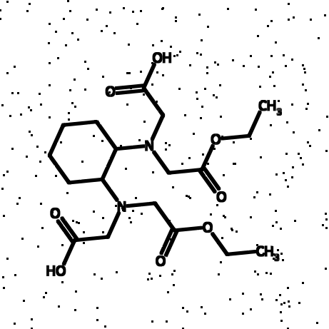 CCOC(=O)CN(CC(=O)O)C1CCCCC1N(CC(=O)O)CC(=O)OCC